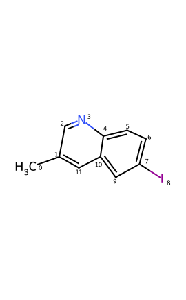 Cc1cnc2ccc(I)cc2c1